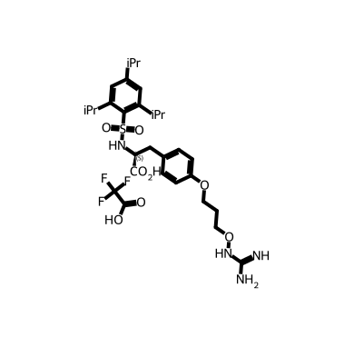 CC(C)c1cc(C(C)C)c(S(=O)(=O)N[C@@H](Cc2ccc(OCCCONC(=N)N)cc2)C(=O)O)c(C(C)C)c1.O=C(O)C(F)(F)F